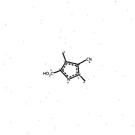 Cc1c(C(=O)O)nn(C)c1C#N